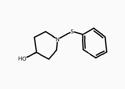 OC1CCN(Sc2ccccc2)CC1